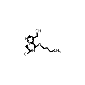 CCCCOc1nc(Cl)cn2ncc(CO)c12